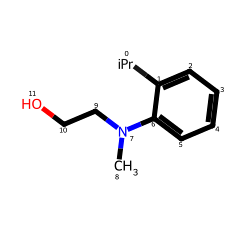 CC(C)c1ccccc1N(C)CCO